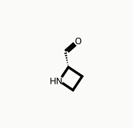 O=C[C@@H]1CCN1